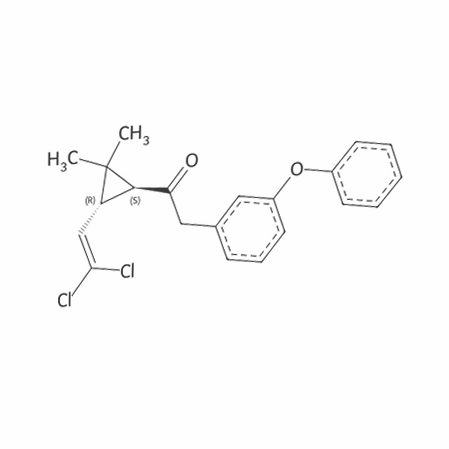 CC1(C)[C@@H](C=C(Cl)Cl)[C@@H]1C(=O)Cc1cccc(Oc2ccccc2)c1